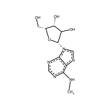 CNc1ncnc2c1ncn2[C@@H]1O[C@H](CO)[C@H](O)C1O